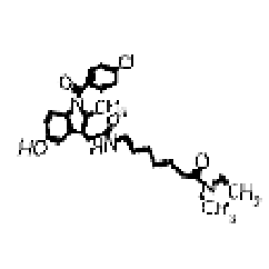 CCN(CC)C(=O)CCCCCCNC(=O)Cc1c(C)n(C(=O)c2ccc(Cl)cc2)c2ccc(O)cc12